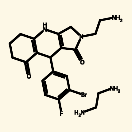 NCCN.NCCN1CC2=C(C1=O)C(c1ccc(F)c(Br)c1)C1=C(CCCC1=O)N2